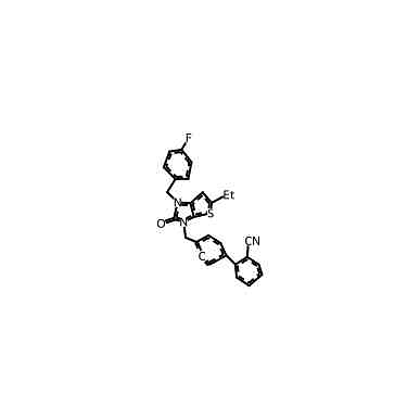 CCc1cc2c(s1)n(Cc1ccc(-c3ccccc3C#N)cc1)c(=O)n2Cc1ccc(F)cc1